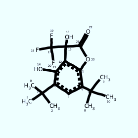 CC(C)(C)c1cc(C(C)(C)C)c2c(c1O)C(O)(C(F)(F)F)C(=O)O2